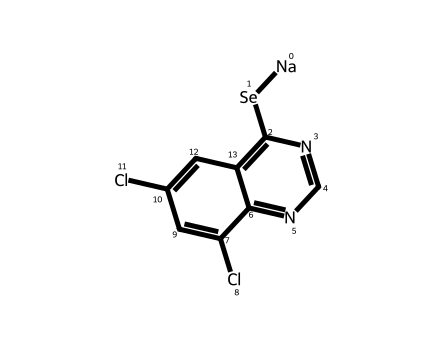 [Na][Se]c1ncnc2c(Cl)cc(Cl)cc12